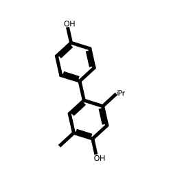 Cc1cc(-c2ccc(O)cc2)c(C(C)C)cc1O